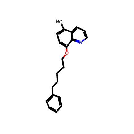 N#Cc1ccc(OCCCCCc2ccccc2)c2ncccc12